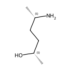 C[C@H](N)CC[C@H](C)O